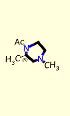 CC(=O)N1CCN(C)C[C@@H]1C